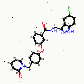 O=C(NCc1n[nH]c2ccc(Cl)cc12)c1cccc(Oc2ccc(Cn3ccccc3=O)cc2)c1